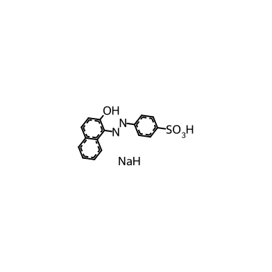 O=S(=O)(O)c1ccc(N=Nc2c(O)ccc3ccccc23)cc1.[NaH]